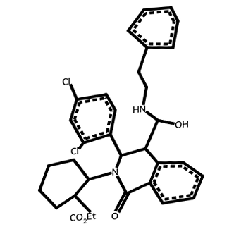 CCOC(=O)C1CCCCC1N1C(=O)c2ccccc2C(C(O)NCCc2ccccc2)C1c1ccc(Cl)cc1Cl